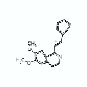 COc1cc2ccnc(/C=C/c3ccccc3)c2cc1OC